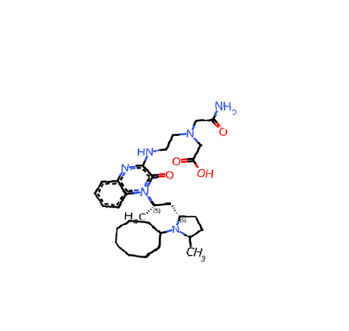 CC1CC[C@@H](C[C@H](C)n2c(=O)c(NCCN(CC(N)=O)CC(=O)O)nc3ccccc32)N1C1CCCCCCC1